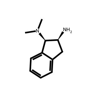 CN(C)[C@@H]1c2ccccc2C[C@@H]1N